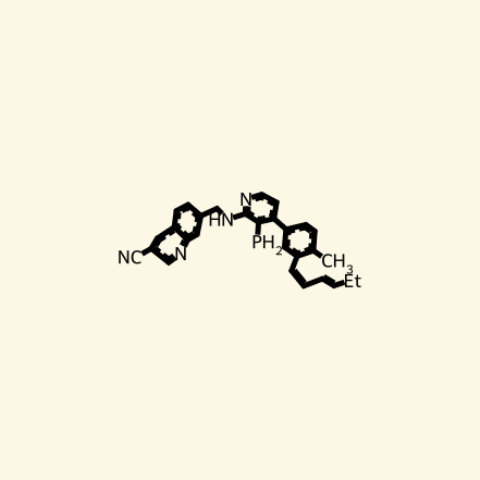 CC/C=C/C=C\c1cc(-c2ccnc(NCc3ccc4cc(C#N)cnc4c3)c2P)ccc1C